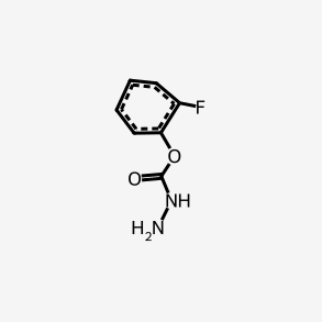 NNC(=O)Oc1ccccc1F